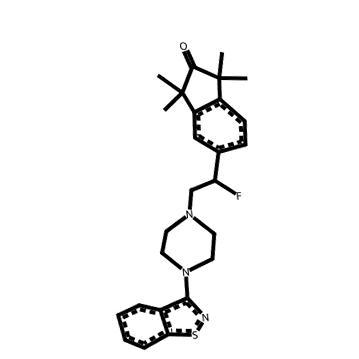 CC1(C)C(=O)C(C)(C)c2cc(C(F)CN3CCN(c4nsc5ccccc45)CC3)ccc21